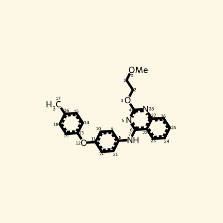 COCCOc1nc(Nc2ccc(Oc3ccc(C)cc3)cc2)c2ccccc2n1